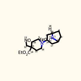 CCOC(=O)N1C2CC[C@@H]1CC(N1CCC(C[N+](=O)[O-])(C(=O)OCC)CC1)C2